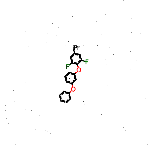 CC(C)c1cc(F)c(Oc2cccc(Oc3ccccc3)c2)c(F)c1